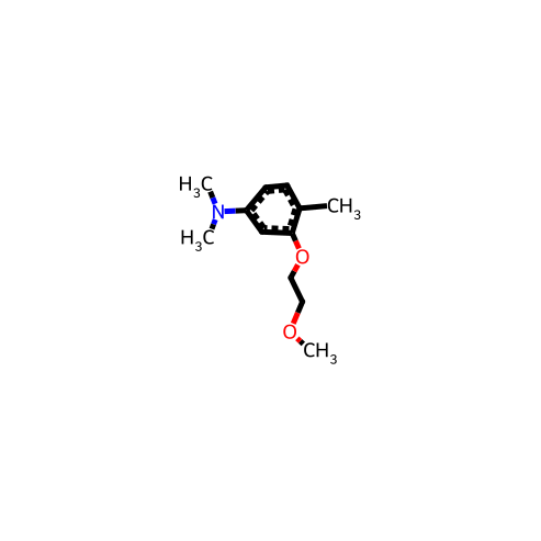 COCCOc1cc(N(C)C)ccc1C